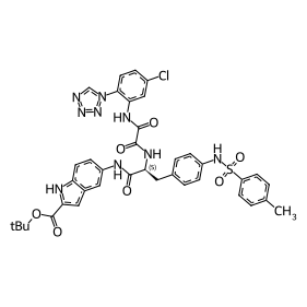 Cc1ccc(S(=O)(=O)Nc2ccc(C[C@H](NC(=O)C(=O)Nc3cc(Cl)ccc3-n3cnnn3)C(=O)Nc3ccc4[nH]c(C(=O)OC(C)(C)C)cc4c3)cc2)cc1